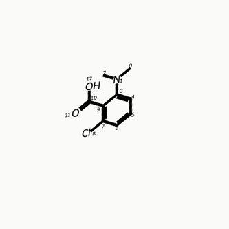 CN(C)c1cccc(Cl)c1C(=O)O